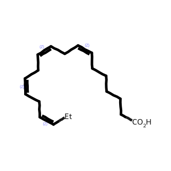 CC/C=C\C/C=C\C/C=C\C/C=C\CCCCCC(=O)O